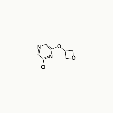 Clc1cncc(OC2COC2)n1